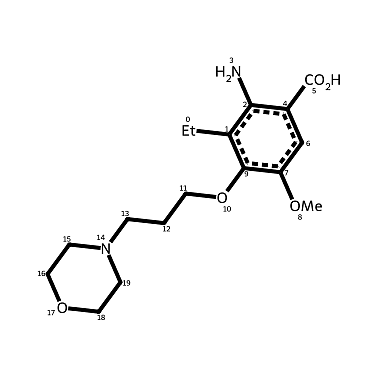 CCc1c(N)c(C(=O)O)cc(OC)c1OCCCN1CCOCC1